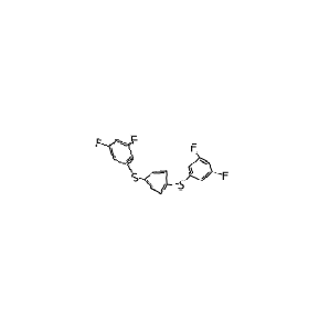 Fc1cc(F)cc(Sc2ccc(Sc3cc(F)cc(F)c3)cc2)c1